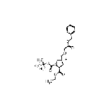 CCOC(=O)[C@@H]1C[C@](F)(COCC(=O)OCc2ccccc2)CN1C(=O)OC(C)(C)C